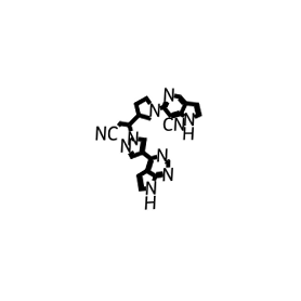 N#CCC(C1CCN(c2ncc3cc[nH]c3c2C#N)C1)n1cc(-c2ncnc3[nH]ccc23)cn1